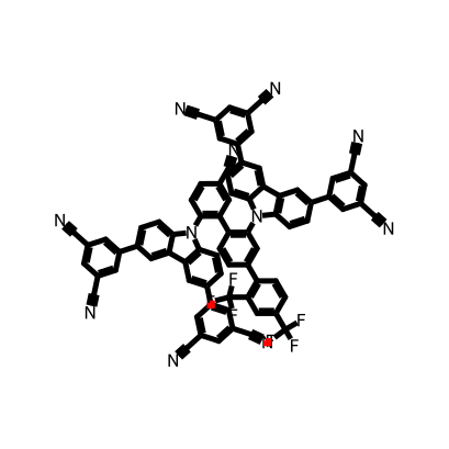 N#Cc1cc(C#N)cc(-c2ccc3c(c2)c2cc(-c4cc(C#N)cc(C#N)c4)ccc2n3-c2ccc(C#N)cc2-c2ccc(-c3ccc(C(F)(F)F)cc3C(F)(F)F)cc2-n2c3ccc(-c4cc(C#N)cc(C#N)c4)cc3c3cc(-c4cc(C#N)cc(C#N)c4)ccc32)c1